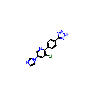 Clc1cc(-n2ccnc2)cnc1-c1ccc(-c2nn[nH]n2)cc1